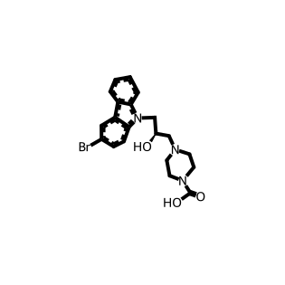 O=C(O)N1CCN(C[C@@H](O)Cn2c3ccccc3c3cc(Br)ccc32)CC1